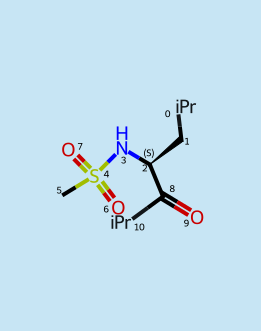 CC(C)C[C@H](NS(C)(=O)=O)C(=O)C(C)C